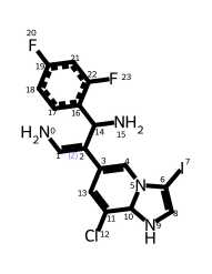 N/C=C(/C1=CN2C(I)=CNC2C(Cl)=C1)C(N)c1ccc(F)cc1F